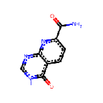 NC(=O)c1ccc2c(=O)[nH]cnc2n1